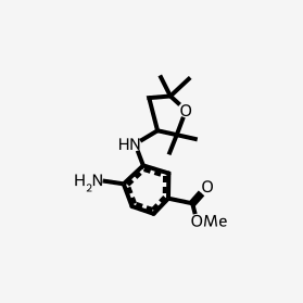 COC(=O)c1ccc(N)c(NC2CC(C)(C)OC2(C)C)c1